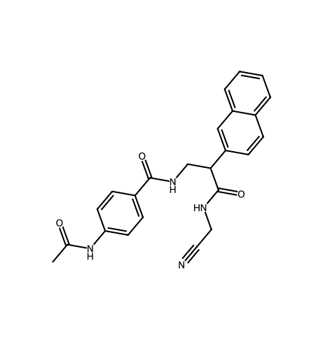 CC(=O)Nc1ccc(C(=O)NCC(C(=O)NCC#N)c2ccc3ccccc3c2)cc1